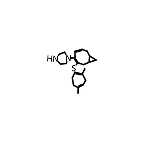 CC1=CCC(C)=C(S/C2=C(N3CCNCC3)/C=C\CC3CC3C2)CC1